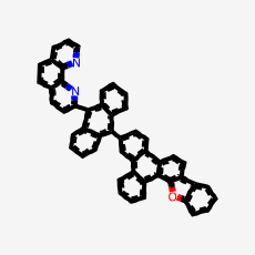 c1cnc2c(c1)ccc1ccc(-c3c4ccccc4c(-c4ccc5c(c4)c4ccccc4c4c5ccc5c6ccccc6oc54)c4ccccc34)nc12